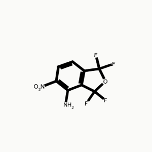 Nc1c([N+](=O)[O-])ccc2c1C(F)(F)OC2(F)F